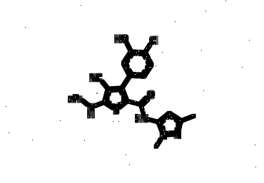 CCCNc1sc(C(=O)Nc2cc(C)nn2C)c(-c2ccc(Cl)c(O)c2)c1C#N